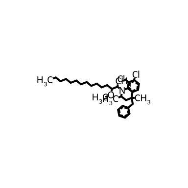 CCCCCCCCCCCCC(OC)C(C)N1c2c(ccc(Cl)c2Cl)C(C)(Cc2ccccc2)CC1C